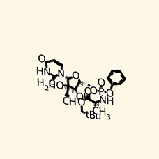 C#C[C@@]1(O)[C@H](O)[C@@H](COP(=O)(N[C@@H](C)C(=O)OCC(C)(C)C)Oc2ccccc2)O[C@H]1N1C=CC(=O)NC1=C